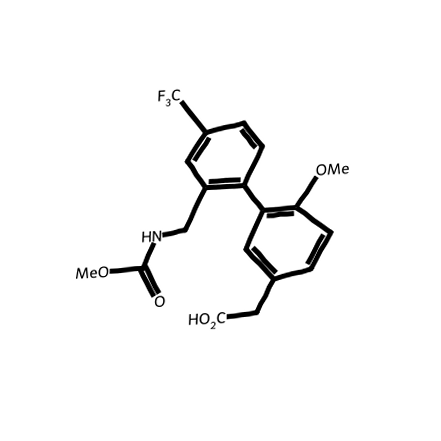 COC(=O)NCc1cc(C(F)(F)F)ccc1-c1cc(CC(=O)O)ccc1OC